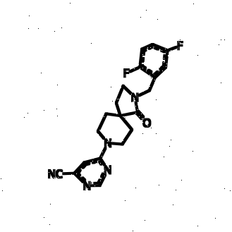 N#Cc1cc(N2CCC3(CCN(Cc4cc(F)ccc4F)C3=O)CC2)ncn1